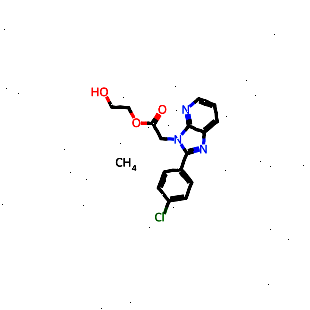 C.O=C(Cn1c(-c2ccc(Cl)cc2)nc2cccnc21)OCCO